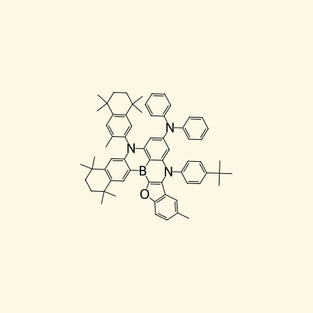 Cc1ccc2oc3c(c2c1)N(c1ccc(C(C)(C)C)cc1)c1cc(N(c2ccccc2)c2ccccc2)cc2c1B3c1cc3c(cc1N2c1cc2c(cc1C)C(C)(C)CCC2(C)C)C(C)(C)CCC3(C)C